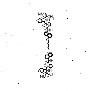 CN[C@@H](C)C(=O)N[C@H](C(=O)N1CCC[C@H]1C(=O)Nc1cccc2c(OCCCCCOc3cccc4c3CCC[C@H]4NC(=O)[C@@H]3CCCN3C(=O)[C@@H](NC(=O)[C@H](C)NC)C3CCOCC3)cccc12)C1CCOCC1